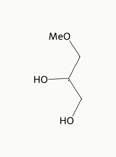 COC[C](O)CO